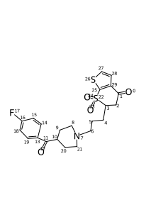 O=C1CC(CCCN2CCC(C(=O)c3ccc(F)cc3)CC2)S(=O)(=O)c2sccc21